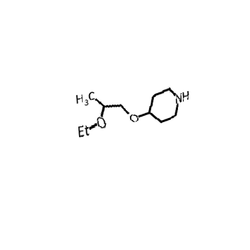 CCOC(C)COC1CCNCC1